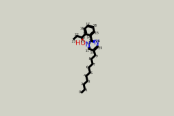 CCCCCCCCCCc1cnc(-c2ccccc2C(O)CC)nc1